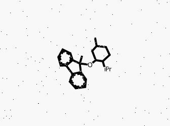 CC1CCC(C(C)C)C(OC2(C)c3ccccc3-c3ccccc32)C1